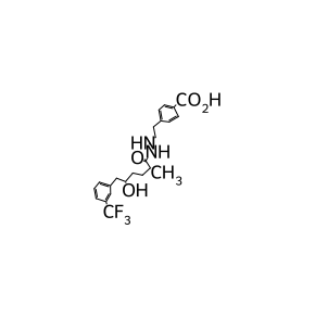 CC(CCC(O)Cc1cccc(C(F)(F)F)c1)C(=O)NNCCc1ccc(C(=O)O)cc1